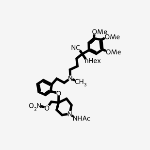 CCCCCCC(C#N)(CCCN(C)CCc1ccccc1OC1(CO[N+](=O)[O-])CCN(NC(C)=O)CC1)c1cc(OC)c(OC)c(OC)c1